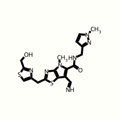 Cn1ccc(CNC(=O)c2c(C=N)c3sc(Cc4csc(CO)n4)nc3n2C)n1